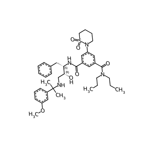 CCCN(CCC)C(=O)c1cc(C(=O)N[C@@H](Cc2ccccc2)[C@H](O)CNC(C)(C)c2cccc(OC)c2)cc(N2CCCCS2(=O)=O)c1